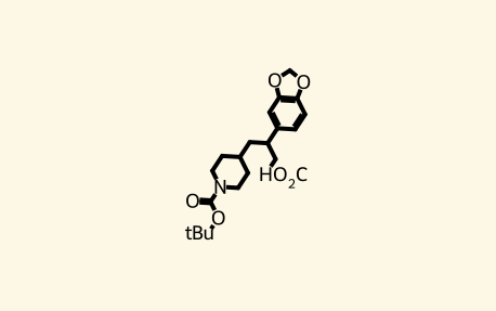 CC(C)(C)OC(=O)N1CCC(CC(CC(=O)O)c2ccc3c(c2)OCO3)CC1